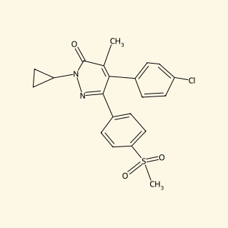 Cc1c(-c2ccc(Cl)cc2)c(-c2ccc(S(C)(=O)=O)cc2)nn(C2CC2)c1=O